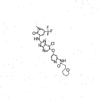 Cn1cc(C(F)(F)F)cc(Nc2nc3ncc(Oc4ccnc(NC(=O)CC5CCCCO5)c4)c(Cl)c3n2C)c1=O